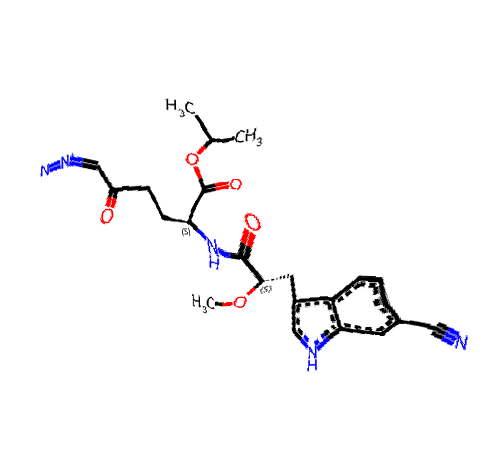 CO[C@@H](Cc1c[nH]c2cc(C#N)ccc12)C(=O)N[C@@H](CCC(=O)C=[N+]=[N-])C(=O)OC(C)C